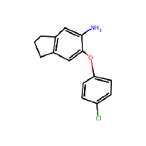 Nc1cc2c(cc1Oc1ccc(Cl)cc1)CCC2